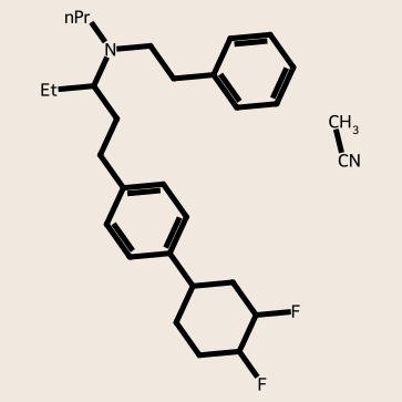 CC#N.CCCN(CCc1ccccc1)C(CC)CCc1ccc(C2CCC(F)C(F)C2)cc1